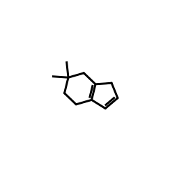 CC1(C)CCC2=C(CC=C2)C1